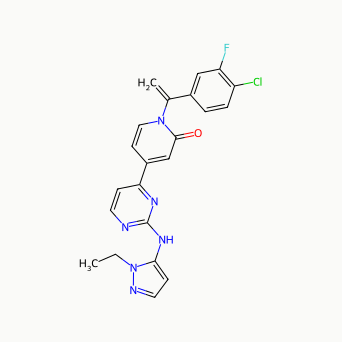 C=C(c1ccc(Cl)c(F)c1)n1ccc(-c2ccnc(Nc3ccnn3CC)n2)cc1=O